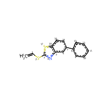 C=CSc1nc2cc(-c3ccccc3)ccc2s1